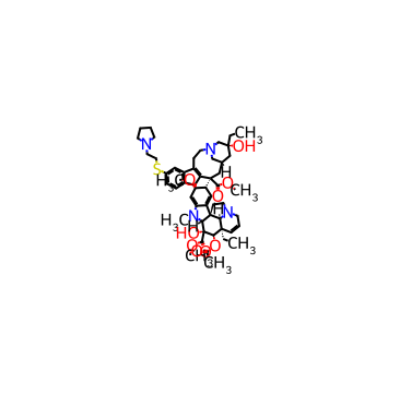 CC[C@]1(O)C[C@H]2CN(CCC3=C(Cc4ccc(SCCN5CCCC5)cc43)[C@@](C(=O)OC)(C3C=C4C(=CC3OC)N(C)[C@H]3[C@@](O)(C(=O)OC)[C@H](OC(C)=O)[C@]5(CC)C=CCN6CC[C@]43[C@@H]65)C2)C1